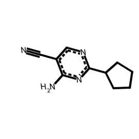 N#Cc1cnc(C2CCCC2)nc1N